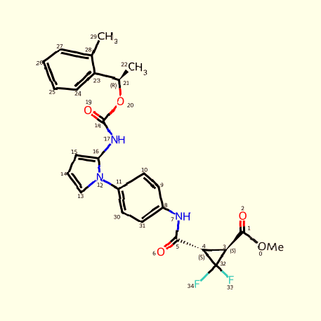 COC(=O)[C@@H]1[C@@H](C(=O)Nc2ccc(-n3cccc3NC(=O)O[C@H](C)c3ccccc3C)cc2)C1(F)F